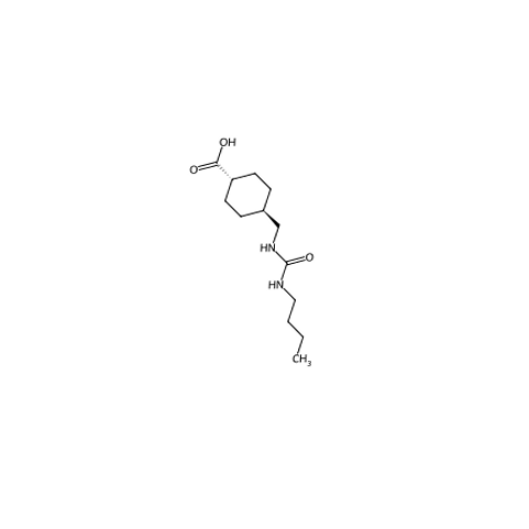 CCCCNC(=O)NC[C@H]1CC[C@H](C(=O)O)CC1